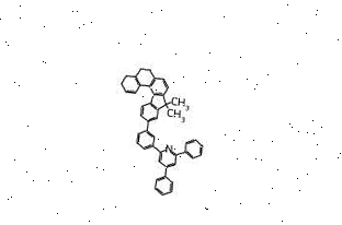 CC1(C)c2cc(-c3cccc(-c4cc(-c5ccccc5)cc(-c5ccccc5)n4)c3)ccc2-c2c1ccc1c2C2=C(CCC=C2)CC1